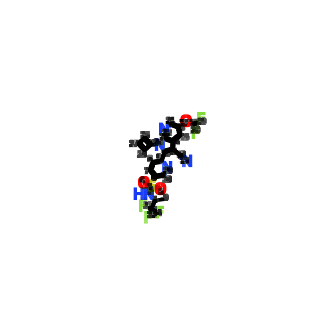 C[C@H](NS(=O)(=O)c1ccc(-c2c(C#N)c3cc(OC(F)F)cnc3n2C2=CC=C2)nc1)C(F)(F)F